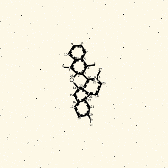 Cc1c2c(c(C)c3ccccc13)-c1c3c(cc4ccc(F)cc4c3cc[n+]1C)O2